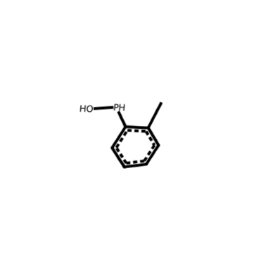 Cc1ccccc1PO